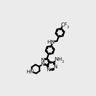 Nc1ncnc2c1c(-c1ccc(NCc3ccc(C(F)(F)F)cc3)cc1)nn2C1CCNCC1